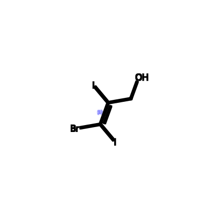 OC/C(I)=C(/Br)I